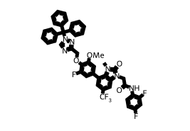 COc1cc(-c2cc(C(F)(F)F)cc3c2n(C)c(=O)n3CC(=O)Nc2ccc(F)cc2F)cc(F)c1OCc1ncn(C(c2ccccc2)(c2ccccc2)c2ccccc2)n1